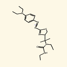 CCNC(=O)N(CC)C(C)(C)C1CSC(/N=N/c2ccc(N(CC)CC)cc2)=N1